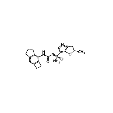 CC1Cn2ncc(S(N)(=O)=NC(=O)Nc3c4c(cc5c3CC5)CCC4)c2O1